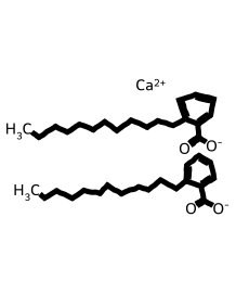 CCCCCCCCCCCCc1ccccc1C(=O)[O-].CCCCCCCCCCCCc1ccccc1C(=O)[O-].[Ca+2]